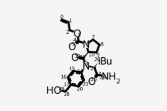 C=CCOC(=O)N1CCC[C@H]1C(=O)N(c1ccc(CO)cc1)[C@H](C(N)=O)[C@@H](C)CC